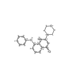 O=c1cc(N2CCOCC2)[nH]c2c(Oc3ccccc3)cccc12